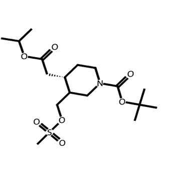 CC(C)OC(=O)C[C@@H]1CCN(C(=O)OC(C)(C)C)CC1COS(C)(=O)=O